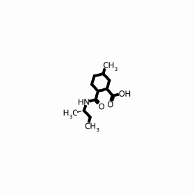 CC[C@H](C)NC(=O)C1CCC(C)CC1C(=O)O